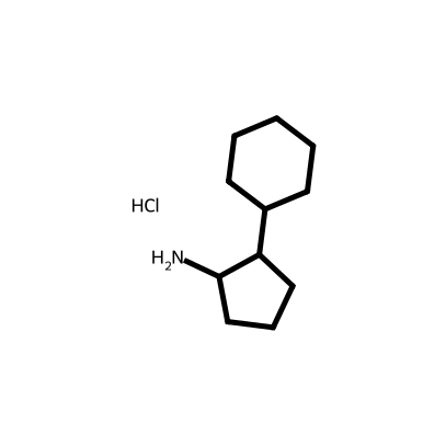 Cl.NC1CCCC1C1CCCCC1